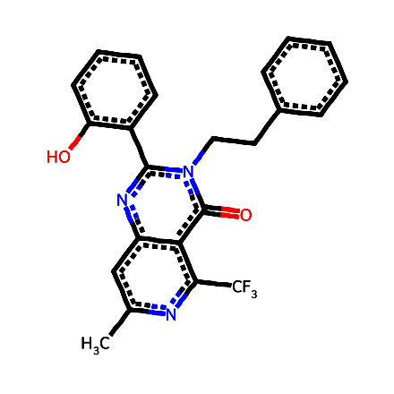 Cc1cc2nc(-c3ccccc3O)n(CCc3ccccc3)c(=O)c2c(C(F)(F)F)n1